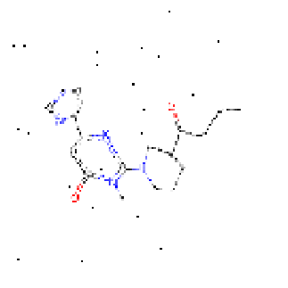 CCCC(=O)C1CCCN(c2nc(-c3ccncn3)cc(=O)n2C)C1